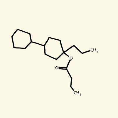 CCCC(=O)OC1(CCC)CCC(C2CCCCC2)CC1